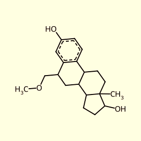 COCC1CC2C(CCC3(C)C(O)CCC23)c2ccc(O)cc21